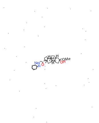 COC[C@@]1(O)CC[C@H]2[C@@H](CC[C@@]3(C)[C@@H]4CC[C@@H](C(=O)Cn5nc6ccccc6n5)[C@@]4(C)CC[C@H]23)C1